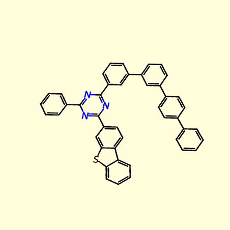 c1ccc(-c2ccc(-c3cccc(-c4cccc(-c5nc(-c6ccccc6)nc(-c6ccc7c(c6)sc6ccccc67)n5)c4)c3)cc2)cc1